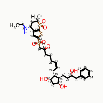 CCN[C@@H]1C[C@@H](C)S(=O)(=O)c2sc(S(=O)(=O)CC(=O)CCC/C=C\C[C@@H]3[C@@H](CC[C@@H](O)Cc4ccccc4)[C@H](O)C[C@@H]3O)cc21